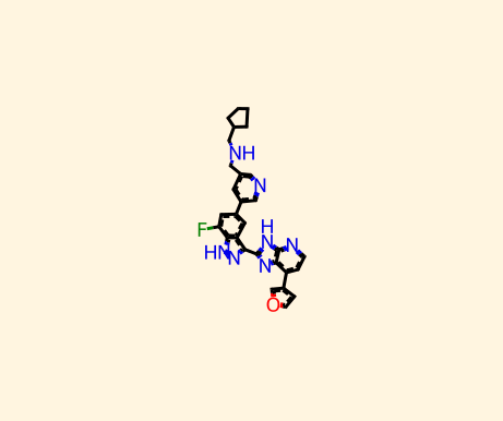 Fc1cc(-c2cncc(CNCC3CCCC3)c2)cc2c(-c3nc4c(-c5ccoc5)ccnc4[nH]3)n[nH]c12